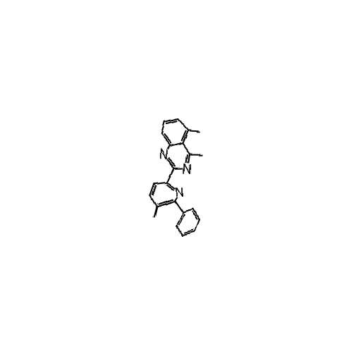 Cc1ccc(-c2nc(C)c3c(C)cccc3n2)nc1-c1ccccc1